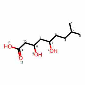 CC(C)CCC(O)CC(O)CC(=O)O